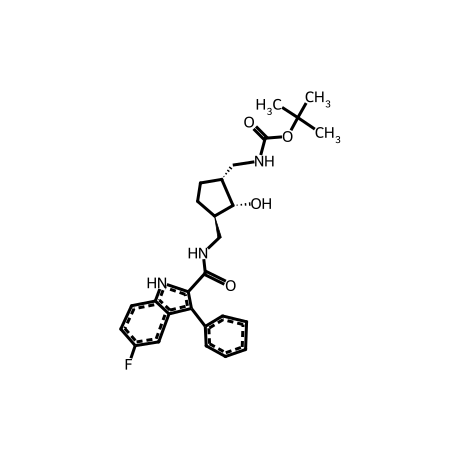 CC(C)(C)OC(=O)NC[C@H]1CC[C@H](CNC(=O)c2[nH]c3ccc(F)cc3c2-c2ccccc2)[C@H]1O